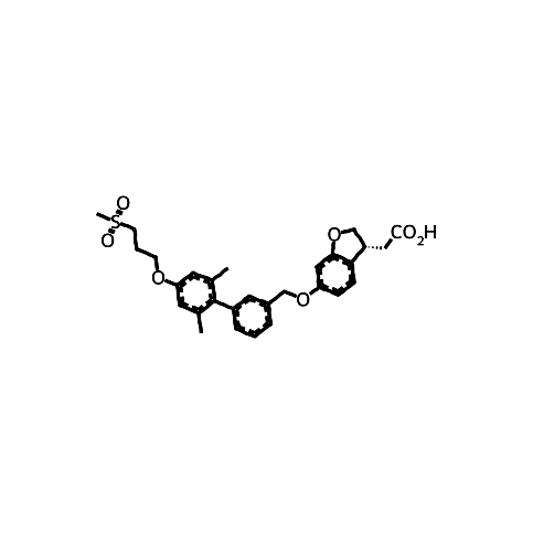 Cc1cc(OCCCS(C)(=O)=O)cc(C)c1-c1cccc(COc2ccc3c(c2)OC[C@@H]3CC(=O)O)c1